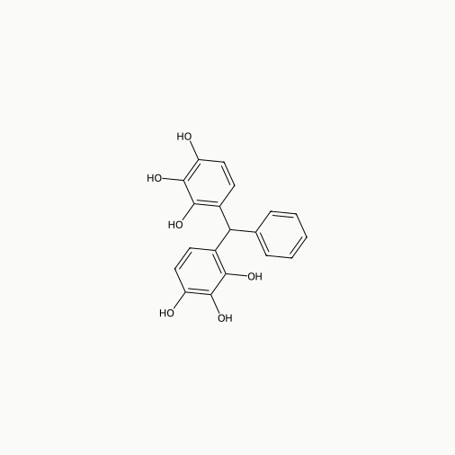 Oc1ccc(C(c2ccccc2)c2ccc(O)c(O)c2O)c(O)c1O